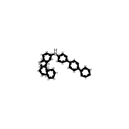 c1ccc(-c2ccc(-c3ccc(Nc4ccc5sc6ccc7ccccc7c6c5c4)cc3)cc2)cc1